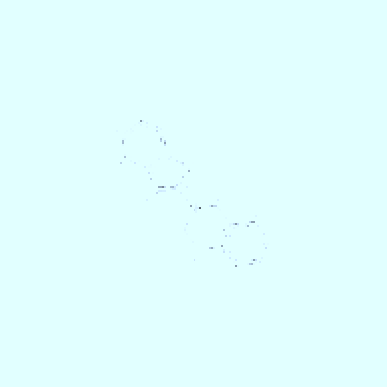 c1ccc2c(c1)CN(c1nc3ccccc3[nH]1)CO2